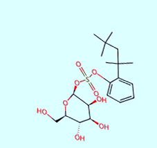 CC(C)(C)CC(C)(C)c1ccccc1OS(=O)(=O)O[C@@H]1O[C@H](CO)[C@@H](O)[C@H](O)[C@@H]1O